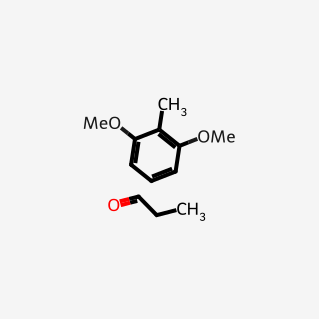 CCC=O.COc1cccc(OC)c1C